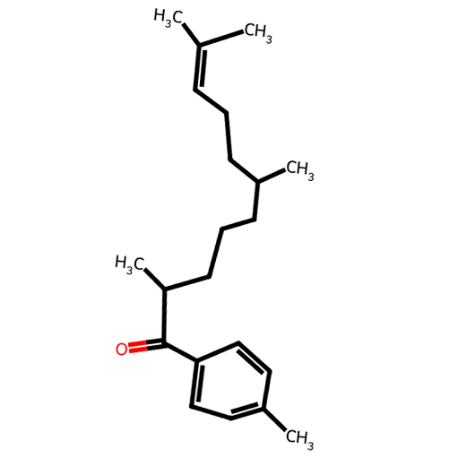 CC(C)=CCCC(C)CCCC(C)C(=O)c1ccc(C)cc1